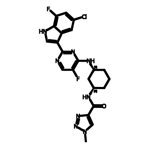 Cn1cc(C(=O)N[C@@H]2CCC[C@H](Nc3nc(-c4c[nH]c5c(F)cc(Cl)cc45)ncc3F)C2)nn1